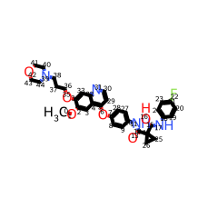 COc1cc2c(Oc3ccc(NC(=O)C4(C(O)Nc5ccc(F)cc5)CC4)cc3)ccnc2cc1OCCCN1CCOCC1